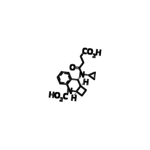 O=C(O)CCC(=O)N(C1CC1)[C@H]1c2ccccc2N(C(=O)O)[C@@H]2CC[C@@H]21